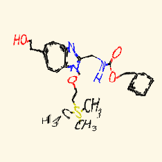 CS(C)(C)CCOCn1c(CNC(=O)OCc2ccccc2)nc2cc(CCO)ccc21